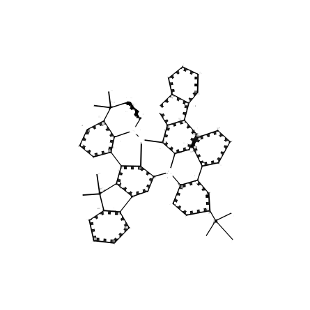 CC(C)(C)c1ccc(N2c3cc4c(c5c3B(c3c2ccc2c3sc3ccccc32)N2c3ccccc3C(C)(C)c3cccc-5c32)C(C)(C)c2ccccc2-4)c(-c2ccccc2)c1